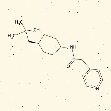 CC(C)(C)C[C@H]1CC[C@H](NC(=O)Cc2ccncc2)CC1